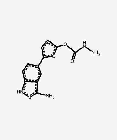 NNC(=O)Oc1ccc(-c2ccc3[nH]nc(N)c3c2)o1